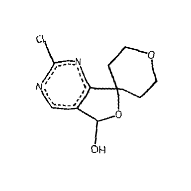 OC1OC2(CCOCC2)c2nc(Cl)ncc21